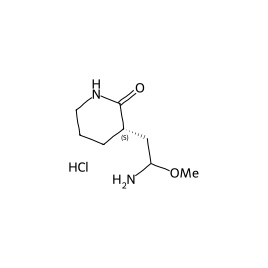 COC(N)C[C@@H]1CCCNC1=O.Cl